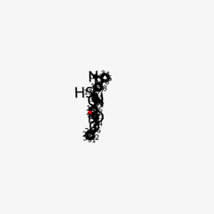 N#Cc1ccccc1-c1ccc(C(S)c2nnc(-c3ccc4nc(COCc5ccccc5)oc4c3)o2)cc1